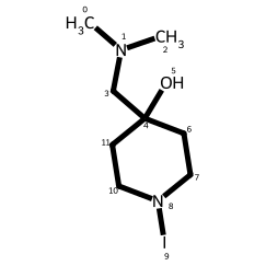 CN(C)CC1(O)CCN(I)CC1